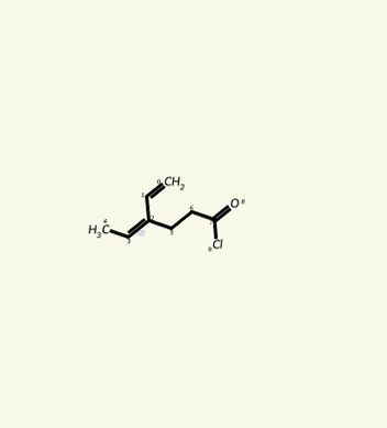 C=C/C(=C\C)CCC(=O)Cl